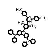 Cc1ccc(-c2cc(-c3c(C)cc(-n4c5ccc(N(c6ccccc6)c6ccccc6)cc5c5cc(N(c6ccccc6)c6ccccc6)ccc54)cc3C)nc(-c3ccc(C)cc3)n2)cc1